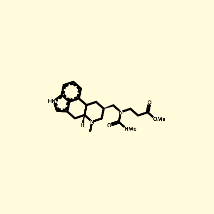 CNC(=O)N(CCC(=O)OC)C[C@@H]1CC2c3cccc4[nH]cc(c34)C[C@H]2N(C)C1